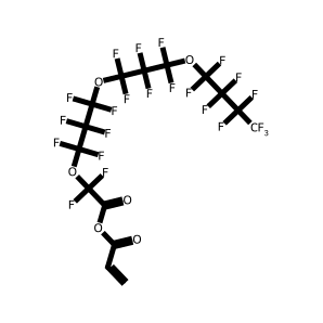 C=CC(=O)OC(=O)C(F)(F)OC(F)(F)C(F)(F)C(F)(F)OC(F)(F)C(F)(F)C(F)(F)OC(F)(F)C(F)(F)C(F)(F)C(F)(F)F